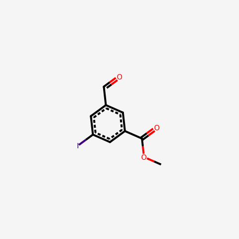 COC(=O)c1cc(I)cc(C=O)c1